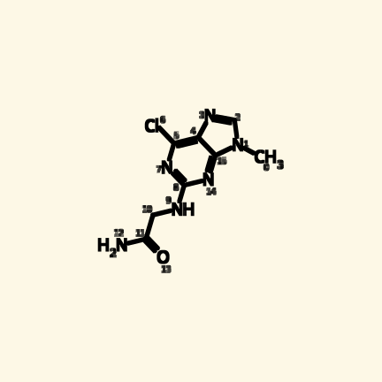 Cn1cnc2c(Cl)nc(NCC(N)=O)nc21